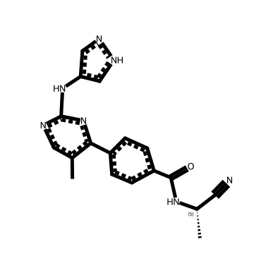 Cc1cnc(Nc2cn[nH]c2)nc1-c1ccc(C(=O)N[C@@H](C)C#N)cc1